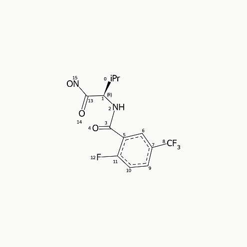 CC(C)[C@@H](NC(=O)c1cc(C(F)(F)F)ccc1F)C(=O)N=O